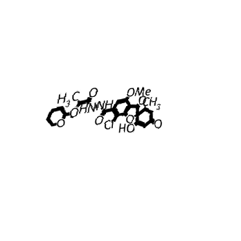 COc1cc(C(=O)NNC(=O)[C@@H](C)OC2CCCCO2)c(Cl)c2c1C(=O)[C@@]1(O2)C(O)=CC(=O)C[C@H]1C